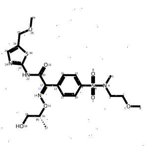 COCCN(C)S(=O)(=O)c1ccc(/C(=N\O[C@H](C)CO)C(=O)Nc2ncc(COC)s2)cc1